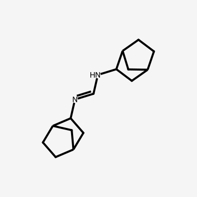 C(=NC1CC2CCC1C2)NC1CC2CCC1C2